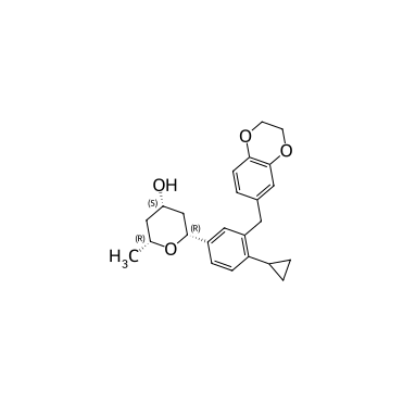 C[C@@H]1C[C@H](O)C[C@H](c2ccc(C3CC3)c(Cc3ccc4c(c3)OCCO4)c2)O1